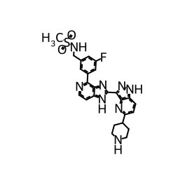 CS(=O)(=O)NCc1cc(F)cc(-c2nccc3[nH]c(-c4n[nH]c5ccc(C6CCNCC6)nc45)nc23)c1